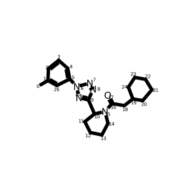 Cc1cccc(-n2nnc(C3CCCCN3C(=O)CC3CCCCC3)n2)c1